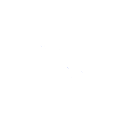 NCc1ccc2cnnn2c1